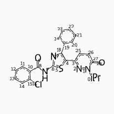 CC(C)n1nc(-c2sc(NC(=O)c3ccccc3Cl)nc2-c2ccccc2)ccc1=O